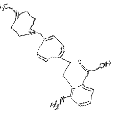 CN1CCN(c2ccc(CCc3c(N)cccc3C(=O)O)cc2)CC1